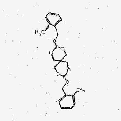 Cc1ccccc1COP1OCC2(CO1)COP(OCc1ccccc1C)OC2